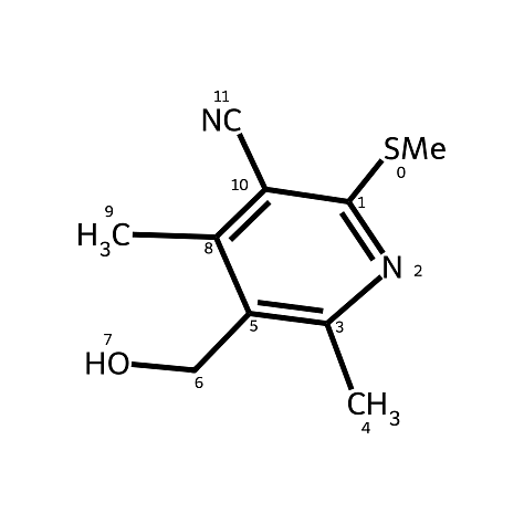 CSc1nc(C)c(CO)c(C)c1C#N